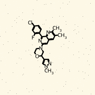 Cc1cc2cc(N3CCOC(c4cnn(C)c4)C3)nc(-c3ccc(Cl)cc3F)c2nc1C